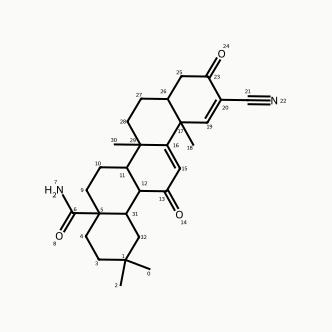 CC1(C)CCC2(C(N)=O)CCC3C(C(=O)C=C4C5(C)C=C(C#N)C(=O)CC5CCC43C)C2C1